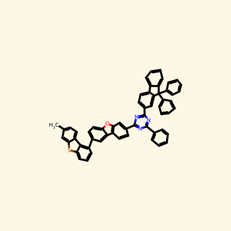 Cc1ccc2c(c1)sc1cccc(-c3ccc4oc5cc(-c6nc(-c7ccccc7)nc(-c7ccc8c(c7)C(c7ccccc7)(c7ccccc7)c7ccccc7-8)n6)ccc5c4c3)c12